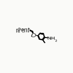 CCCCCCOc1ccc(N)c(C)c1